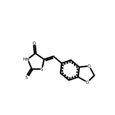 O=C1NC(=S)S/C1=C\c1ccc2c(c1)OCO2